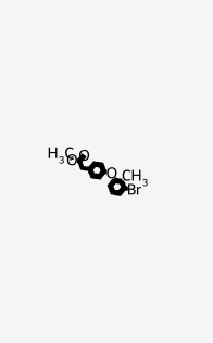 COC(=O)Cc1ccc(Oc2cccc(Br)c2C)cc1